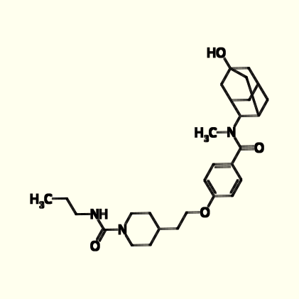 CCCNC(=O)N1CCC(CCOc2ccc(C(=O)N(C)C3C4CC5CC3CC(O)(C5)C4)cc2)CC1